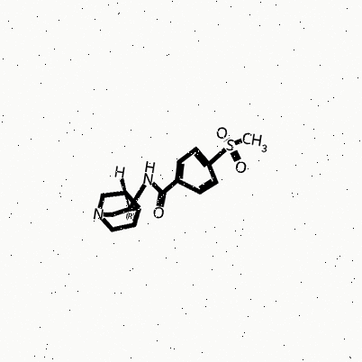 CS(=O)(=O)c1ccc(C(=O)N[C@H]2CN3CCC2CC3)cc1